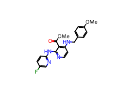 COC(=O)c1c(NCc2ccc(OC)cc2)ccnc1Nc1ccc(F)cn1